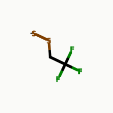 FC(F)(F)CS[S]